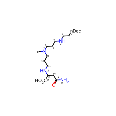 CCCCCCCCCCCCNCCCN(C)CCCNC(CC(N)=O)C(=O)O